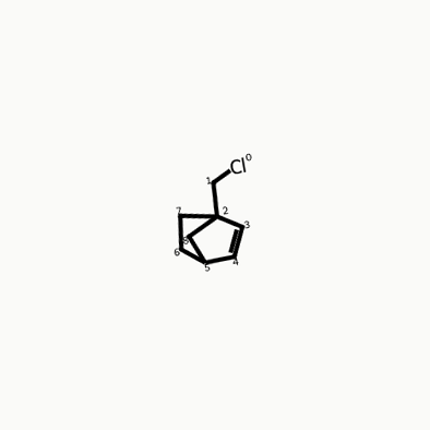 ClCC12C=CC(CC1)C2